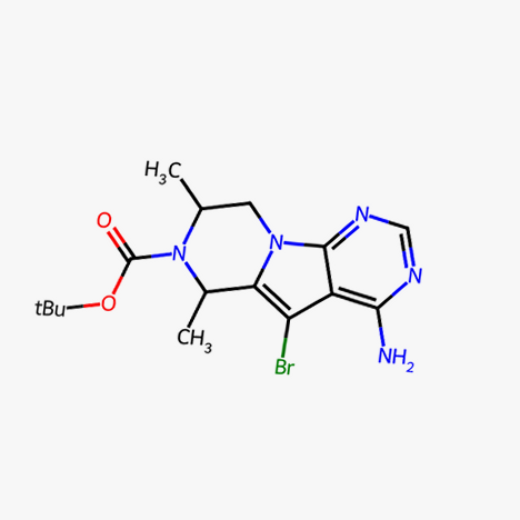 CC1Cn2c(c(Br)c3c(N)ncnc32)C(C)N1C(=O)OC(C)(C)C